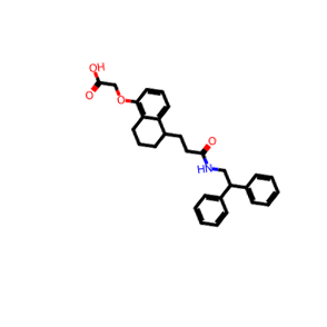 O=C(O)COc1cccc2c1CCCC2CCC(=O)NCC(c1ccccc1)c1ccccc1